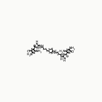 N=C(NCCCCCN1CCC(CNCCCNC(=N)NC(=O)c2nc(Cl)c(N)nc2N)CC1)NC(=O)c1nc(Cl)c(N)nc1N